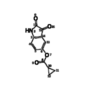 O=C1Nc2ccc(OC(=O)C3CC3)cc2C1=O